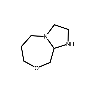 C1COCC2NCCN2C1